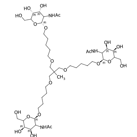 CC(=O)NC1[C@H](OCCCCCOCC(C)(COCCCCCO[C@@H]2OC(CO)[C@H](O)[C@H](O)C2NC(C)=O)COCCCCCO[C@@H]2OC(CO)[C@H](O)[C@H](O)C2NC(C)=O)OC(CO)[C@H](O)[C@@H]1O